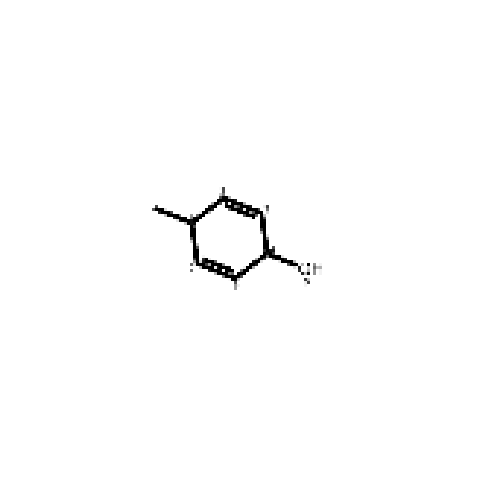 CC1C=CC(O)C=C1